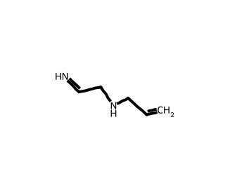 C=CCNCC=N